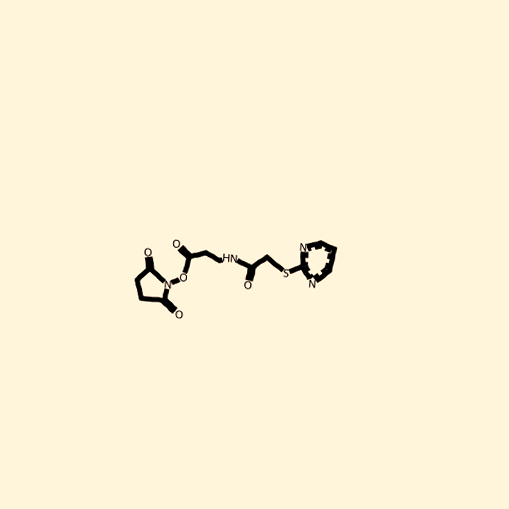 O=C(CSc1ncccn1)NCCC(=O)ON1C(=O)CCC1=O